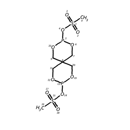 CS(=O)(=O)OP1OCC2(CO1)COP(OS(C)(=O)=O)OC2